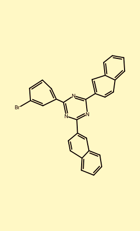 Brc1cccc(-c2nc(-c3ccc4ccccc4c3)nc(-c3ccc4ccccc4c3)n2)c1